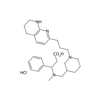 CN(CC1CCCN(CCCc2ccc3c(n2)NCCC3)C1)C(CC(=O)O)c1ccccc1.Cl